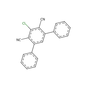 N#Cc1c(-c2ccccc2)cc(-c2ccccc2)c(C#N)c1Cl